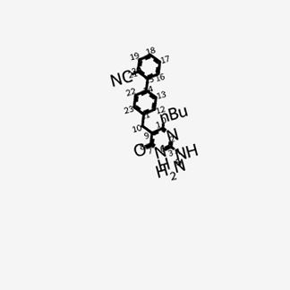 CCCCc1nc(NN)[nH]c(=O)c1Cc1ccc(-c2ccccc2C#N)cc1